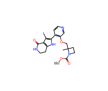 CC(C)(C)OC(=O)N1CCC1(C)COc1cnccc1-c1[nH]c2c(c1I)C(=O)NCC2